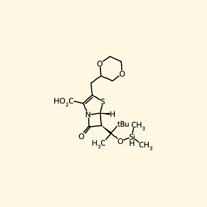 C[SiH](C)OC(C)([C@H]1C(=O)N2C(C(=O)O)=C(CC3COCCO3)S[C@H]12)C(C)(C)C